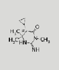 CN1C(=N)NC(C)(C)[C@H](C2CC2)C1=O